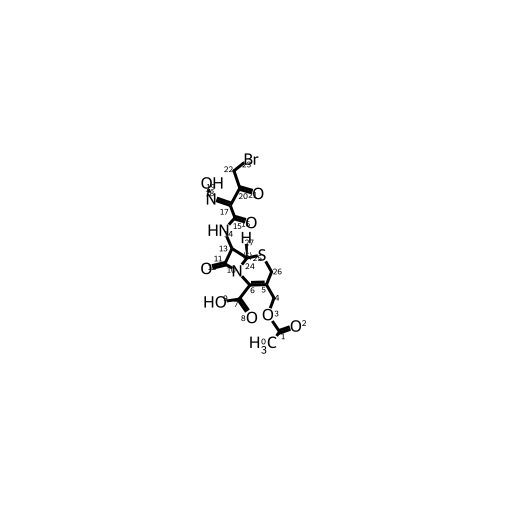 CC(=O)OCC1=C(C(=O)O)N2C(=O)C(NC(=O)C(=NO)C(=O)CBr)[C@@H]2SC1